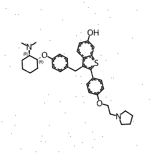 CN(C)[C@@H]1CCCC[C@H]1Oc1ccc(Cc2c(-c3ccc(OCCN4CCCC4)cc3)sc3cc(O)ccc23)cc1